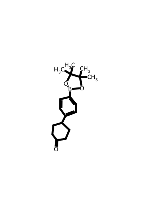 CC1(C)OB(c2ccc(C3CCC(=O)CC3)cc2)OC1(C)C